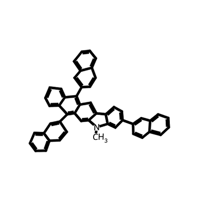 Cn1c2cc(-c3ccc4ccccc4c3)ccc2c2cc3c(-c4ccc5ccccc5c4)c4ccccc4c(-c4ccc5ccccc5c4)c3cc21